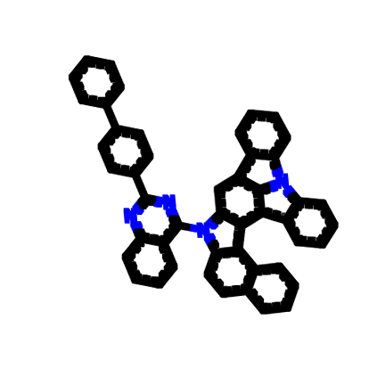 c1ccc(-c2ccc(-c3nc(-n4c5ccc6ccccc6c5c5c6c7ccccc7n7c8ccccc8c(cc54)c67)c4ccccc4n3)cc2)cc1